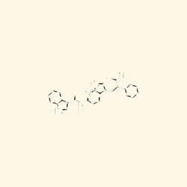 NC(=O)C(=Cc1c[nH]c2nc(NC(=O)c3c[nH]c4ccccc34)ccc12)c1ccccc1